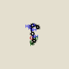 O=C(NC1CCC(CNc2n[nH]c3c2CN(Cc2ccccc2)CC3)CC1)c1cc(C(F)(F)F)ccc1Cl